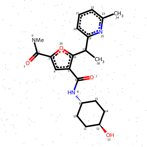 CNC(=O)c1cc(C(=O)N[C@H]2CC[C@H](O)CC2)c(C(C)c2cccc(C)n2)o1